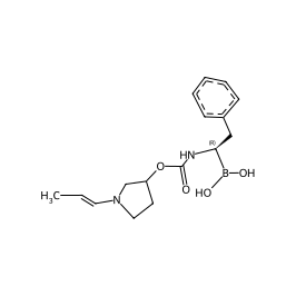 CC=CN1CCC(OC(=O)N[C@@H](Cc2ccccc2)B(O)O)C1